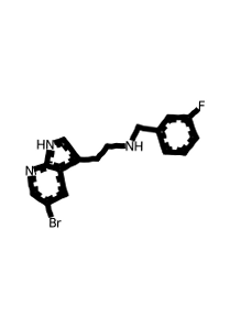 Fc1cccc(CNCCc2c[nH]c3ncc(Br)cc23)c1